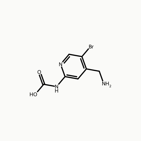 NCc1cc(NC(=O)O)ncc1Br